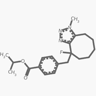 CC(C)OC(=O)c1ccc(CC2(F)CCCCCc3c2nnn3C)cc1